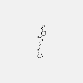 CCOc1cccc(C(=O)OCCCC=Nc2ccccc2)c1